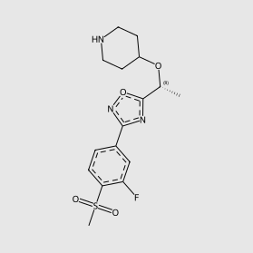 C[C@@H](OC1CCNCC1)c1nc(-c2ccc(S(C)(=O)=O)c(F)c2)no1